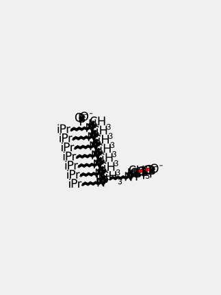 CC(C)CCCCCCC[n+]1ccn(C)c1.CC(C)CCCCCCC[n+]1ccn(C)c1.CC(C)CCCCCCC[n+]1ccn(C)c1.CC(C)CCCCCCC[n+]1ccn(C)c1.CC(C)CCCCCCC[n+]1ccn(C)c1.CC(C)CCCCCCC[n+]1ccn(C)c1.CC(C)CCCCCCC[n+]1ccn(C)c1.CC(C)CCCCCCC[n+]1ccn(C)c1.[O-]B([O-])F.[O-]B([O-])F.[O-]B([O-])F.[O-]B([O-])F